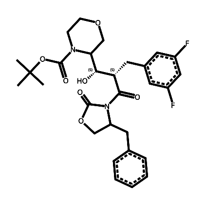 CC(C)(C)OC(=O)N1CCOCC1[C@@H](O)[C@H](Cc1cc(F)cc(F)c1)C(=O)N1C(=O)OCC1Cc1ccccc1